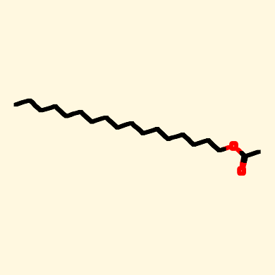 CCCCCCCCCCCCCCCCCOC(C)=O